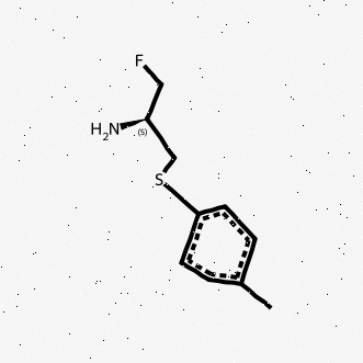 Cc1ccc(SC[C@@H](N)CF)cc1